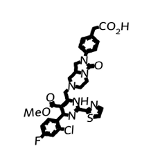 COC(=O)C1=C(CN2CCN3C(=O)N(c4ccc(CC(=O)O)cc4)CC3C2)NC(c2nccs2)=NC1c1ccc(F)cc1Cl